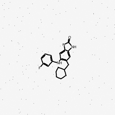 O=C1[N]c2cc(Nc3cccc(F)c3)c(CC3CCCCC3)cc2N1